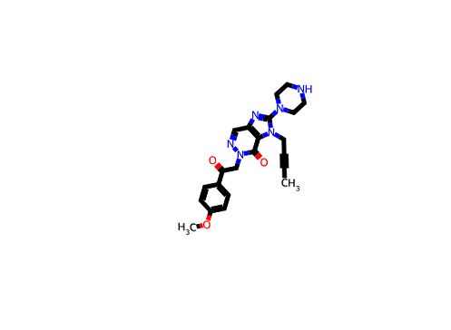 CC#CCn1c(N2CCNCC2)nc2cnn(CC(=O)c3ccc(OC)cc3)c(=O)c21